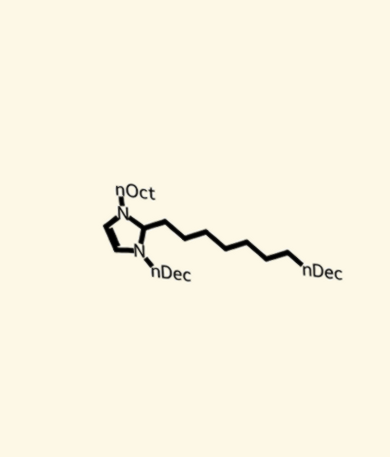 CCCCCCCCCCCCCCCCCC1N(CCCCCCCC)C=CN1CCCCCCCCCC